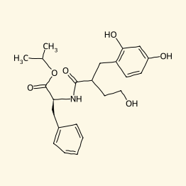 CC(C)OC(=O)[C@H](Cc1ccccc1)NC(=O)C(CCO)Cc1ccc(O)cc1O